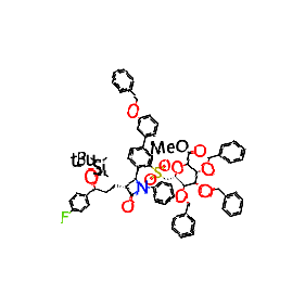 COC(=O)C1O[C@@H](CS(=O)(=O)c2cc(-c3cccc(OCc4ccccc4)c3)ccc2[C@@H]2[C@@H](CC[C@H](O[Si](C)(C)C(C)(C)C)c3ccc(F)cc3)C(=O)N2c2ccccc2)C(OCc2ccccc2)[C@H](OCc2ccccc2)[C@H]1OCc1ccccc1